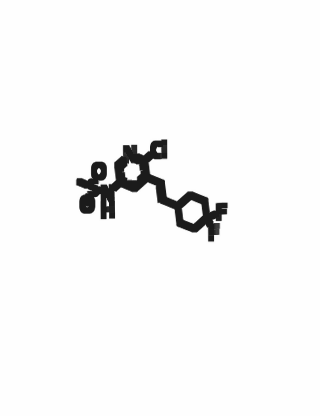 CS(=O)(=O)Nc1cnc(Cl)c(C=CC2CCC(F)(F)CC2)c1